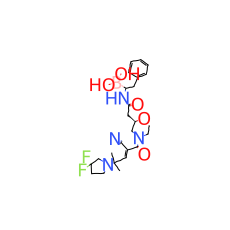 CC(C)(C=C(C#N)C(=O)N1CCO[C@H](CC(=O)NC(Cc2ccccc2)B(O)O)C1)N1CCC(F)(F)C1